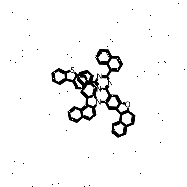 c1ccc2cc3c(cc2c1)c1c2ccccc2ccc1n3-c1cc2c(cc1-c1nc(-c3ccc4c(c3)sc3ccccc34)nc(-c3cccc4ccccc34)n1)oc1ccc3ccccc3c12